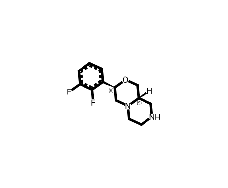 Fc1cccc([C@@H]2CN3CCNC[C@H]3CO2)c1F